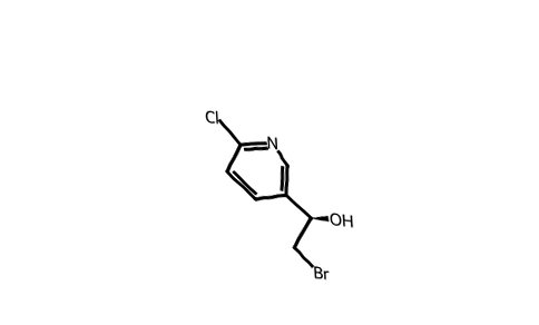 O[C@@H](CBr)c1ccc(Cl)nc1